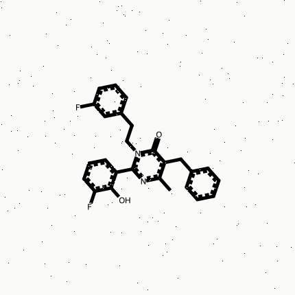 Cc1nc(-c2cccc(F)c2O)n(CCc2cccc(F)c2)c(=O)c1Cc1ccccc1